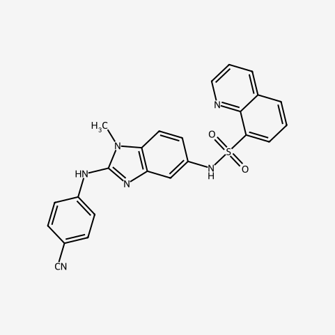 Cn1c(Nc2ccc(C#N)cc2)nc2cc(NS(=O)(=O)c3cccc4cccnc34)ccc21